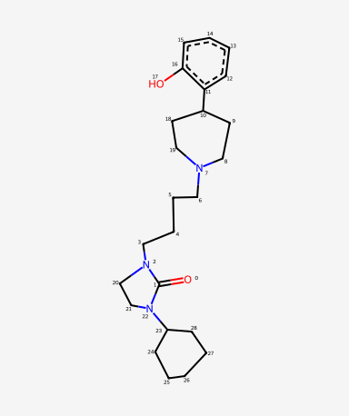 O=C1N(CCCCN2CCC(c3ccccc3O)CC2)CCN1C1CCCCC1